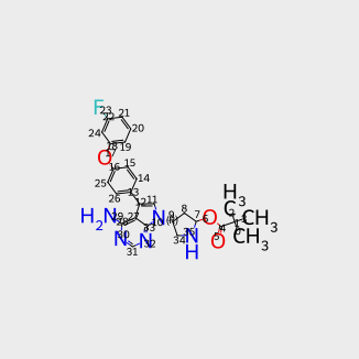 CC(C)(C)C(=O)OC1C[C@@H](n2cc(-c3ccc(Oc4cccc(F)c4)cc3)c3c(N)ncnc32)CN1